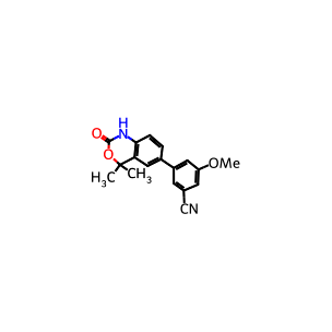 COc1cc(C#N)cc(-c2ccc3c(c2)C(C)(C)OC(=O)N3)c1